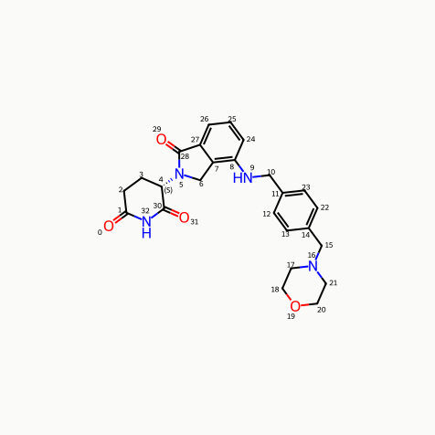 O=C1CC[C@H](N2Cc3c(NCc4ccc(CN5CCOCC5)cc4)cccc3C2=O)C(=O)N1